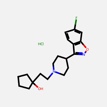 Cl.OC1(CCN2CCC(c3noc4cc(F)ccc34)CC2)CCCC1